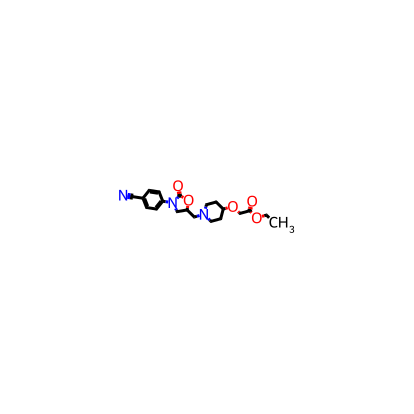 CCOC(=O)COC1CCN(CC2CN(c3ccc(C#N)cc3)C(=O)O2)CC1